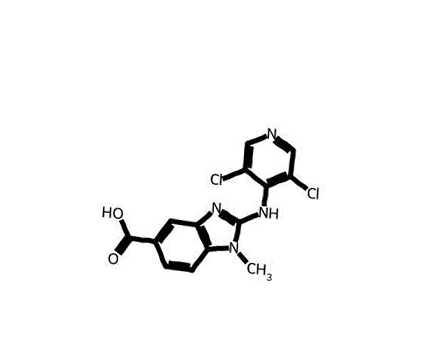 Cn1c(Nc2c(Cl)cncc2Cl)nc2cc(C(=O)O)ccc21